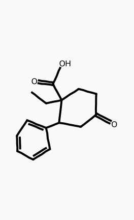 CCC1(C(=O)O)CCC(=O)CC1c1ccccc1